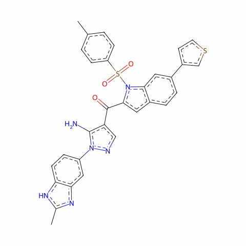 Cc1ccc(S(=O)(=O)n2c(C(=O)c3cnn(-c4ccc5[nH]c(C)nc5c4)c3N)cc3ccc(-c4ccsc4)cc32)cc1